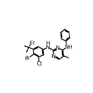 CCC(C)(C)c1cc(Nc2ncc(C)c(Nc3ccccc3)n2)cc(Cl)c1Br